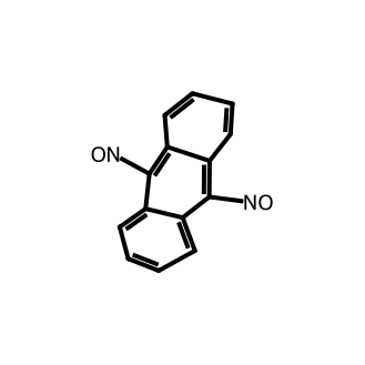 O=Nc1c2ccccc2c(N=O)c2ccccc12